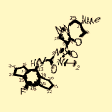 CN[C@H]1COc2c(S(N)(=O)=NC(=O)Nc3c4c(c(F)c5c3CCC5)CCC4)cnn2C1